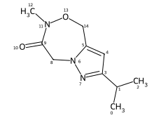 CC(C)c1cc2n(n1)CC(=O)N(C)OC2